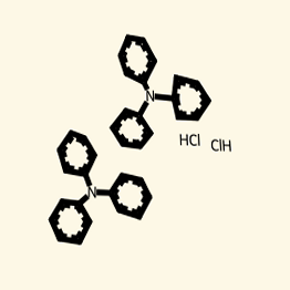 Cl.Cl.c1ccc(N(c2ccccc2)c2ccccc2)cc1.c1ccc(N(c2ccccc2)c2ccccc2)cc1